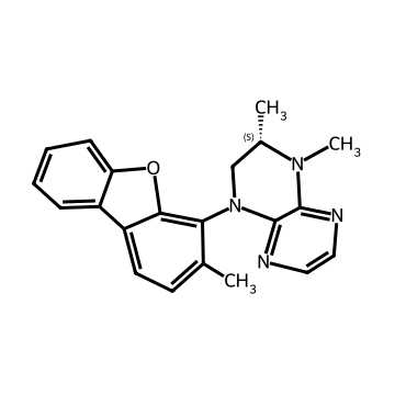 Cc1ccc2c(oc3ccccc32)c1N1C[C@H](C)N(C)c2nccnc21